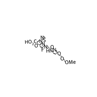 COCCOCCOc1ccc(NC(=O)C2CN(c3nc4c(cc3F)c(=O)c(C(=O)O)cn4-c3nccs3)C2)nc1